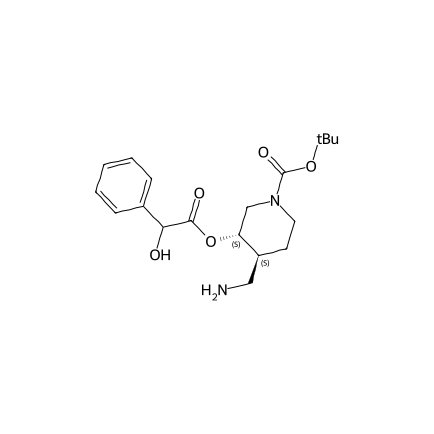 CC(C)(C)OC(=O)N1CC[C@@H](CN)[C@H](OC(=O)C(O)c2ccccc2)C1